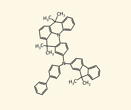 CC1(C)c2ccccc2-c2ccc(N(c3ccc(-c4ccccc4)cc3)c3ccc4c(c3)C(C)(C)c3cccc5c3N4c3ccccc3C5(C)C)cc21